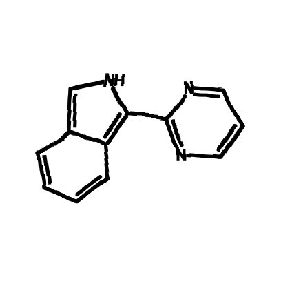 c1cnc(-c2[nH]cc3ccccc23)nc1